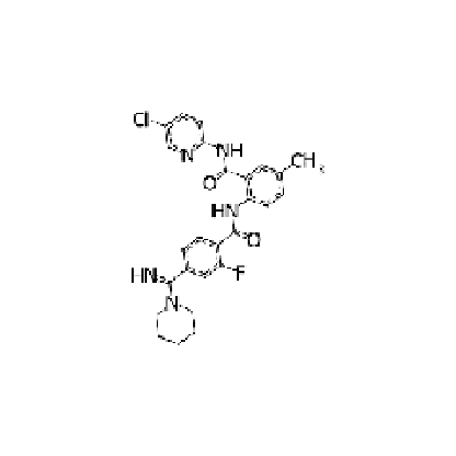 Cc1ccc(NC(=O)c2ccc(C(=N)N3CCCCC3)cc2F)c(C(=O)Nc2ccc(Cl)cn2)c1